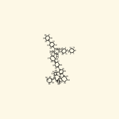 c1ccc(-c2ccc(C3NC(c4ccc(-c5ccccc5)cc4)NC(c4cccc(-c5ccc(-c6ccc7c(c6)C6(c8ccccc8-7)c7ccccc7N(c7ccccc7)c7ccccc76)cc5)c4)N3)cc2)cc1